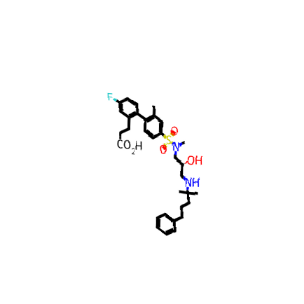 Cc1cc(S(=O)(=O)N(C)C[C@H](O)CNC(C)(C)CCCc2ccccc2)ccc1-c1ccc(F)cc1CCC(=O)O